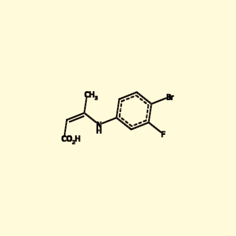 C/C(=C/C(=O)O)Nc1ccc(Br)c(F)c1